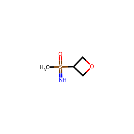 CS(=N)(=O)C1COC1